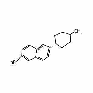 CCCc1ccc2cc([C@H]3CC[C@H](C)CC3)ccc2c1